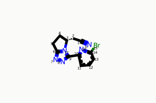 N#CC[C@H]1CCc2nnc(-c3cccc(Br)n3)n21